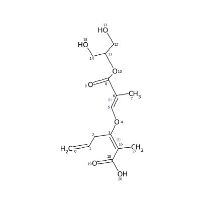 C=CC/C(O/C=C(\C)C(=O)OC(CO)CO)=C(/C)C(=O)O